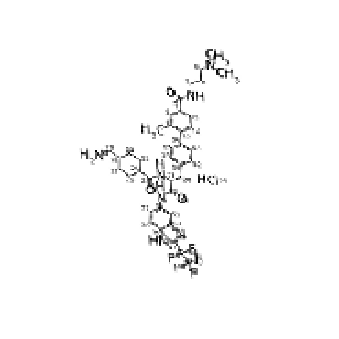 Cc1cc(C(=O)NCCCN(C)C)ccc1-c1ccc(C[C@H](NC(=O)C2CCC(CN)CC2)C(=O)Nc2ccc3[nH]c(C(F)(F)C(F)(F)F)nc3c2)cc1.Cl